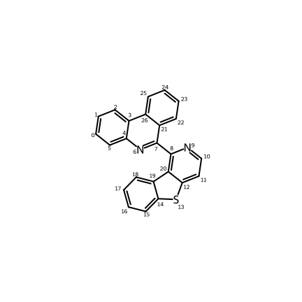 c1ccc2c(c1)nc(-c1nccc3sc4ccccc4c13)c1ccccc12